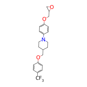 FC(F)(F)c1ccc(OCC2CCN(c3ccc(OCC4CO4)cc3)CC2)cc1